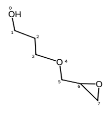 OCCCOCC1CO1